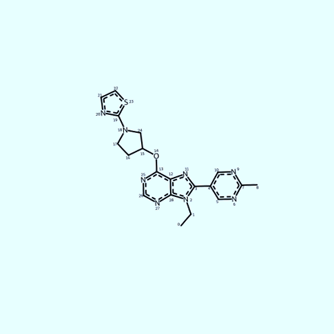 CCn1c(-c2cnc(C)nc2)nc2c(OC3CCN(c4nccs4)C3)ncnc21